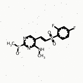 CNc1nc([S+](C)[O-])ncc1C=CS(=O)(=O)c1ccc(F)cc1F